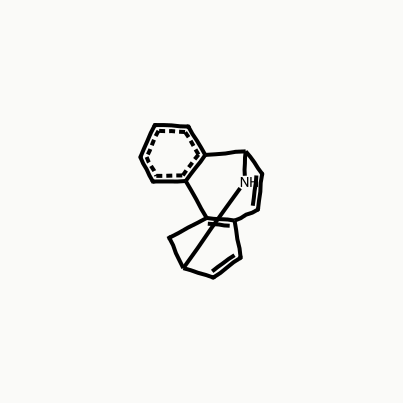 C1=CC2CC3=C1C=CC(N2)c1ccccc13